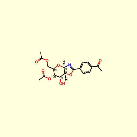 CC(=O)OC[C@H]1O[C@@H]2N=C(c3ccc(C(C)=O)cc3)O[C@@H]2[C@@H](O)[C@@H]1OC(C)=O